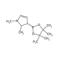 CC1C(B2OC(C)(C)C(C)(C)O2)C=CN1C